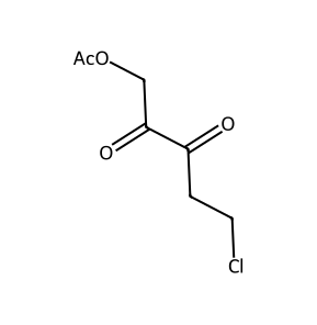 CC(=O)OCC(=O)C(=O)CCCl